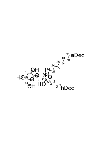 CCCCCCCCCCCCC/C=C/[C@@H](O)[C@H](CO[C@@H]1O[C@H](CO)[C@@H](O)[CH]C1O)NC(=O)CCCCCCCCCCCCCCCCCCC